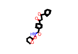 O=C(CC(=O)c1ccc(C(=O)NOC2CCCCO2)cc1)c1ccccc1